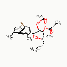 CC[C@H]1O[C@@H](c2cc(Br)c(C(C)C)cc2C)[C@@H](OC(C)=O)[C@@H](OC(C)=O)[C@H]1C